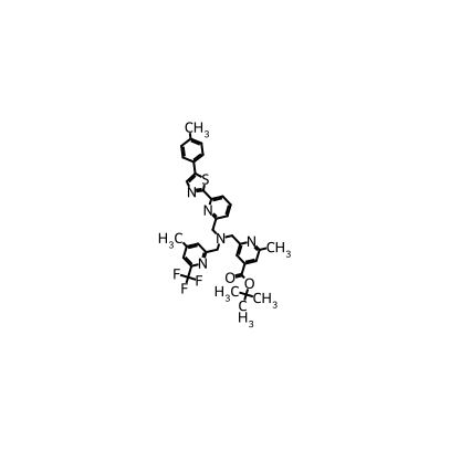 Cc1ccc(-c2cnc(-c3cccc(CN(Cc4cc(C(=O)OC(C)(C)C)cc(C)n4)Cc4cc(C)cc(C(F)(F)F)n4)n3)s2)cc1